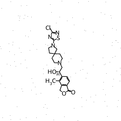 Cc1c([C@@H](O)CN2CCC3(CC2)CCN(c2nc(Cl)ns2)C3)ccc2c1COC2=O